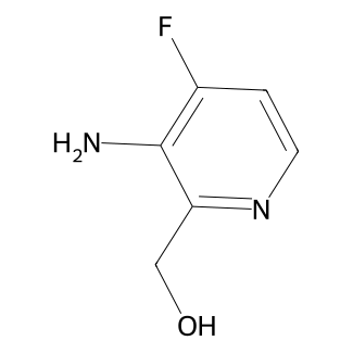 Nc1c(F)ccnc1CO